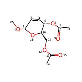 COC1C=C[C@H](OC(C)=O)[C@@H](COC(C)=O)O1